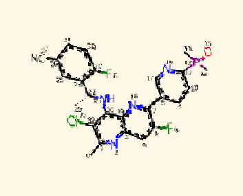 Cc1nc2cc(F)c(-c3ccc(P(C)(C)=O)nc3)nc2c(N[C@H](C)c2cc(C#N)ccc2F)c1Cl